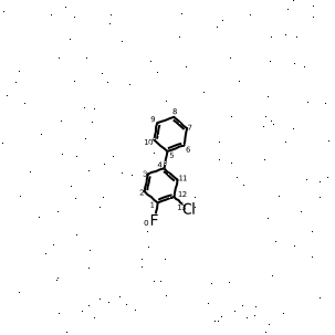 Fc1ccc(-c2ccccc2)cc1Cl